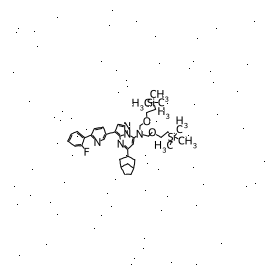 C[Si](C)(C)CCOCN(COCC[Si](C)(C)C)c1cc(C2CC3CCC(C3)C2)nc2c(-c3ccc(-c4ccccc4F)nc3)cnn12